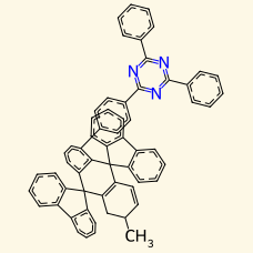 CC1C=CC2=C(C1)C1(c3ccccc3-c3ccccc31)c1cccc(-c3ccc(-c4nc(-c5ccccc5)nc(-c5ccccc5)n4)cc3)c1C21c2ccccc2-c2ccccc21